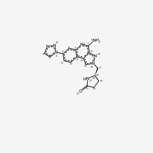 Nc1nc2cc(-n3cccn3)ccc2c2cn(C[C@H]3CCC(=O)N3)nc12